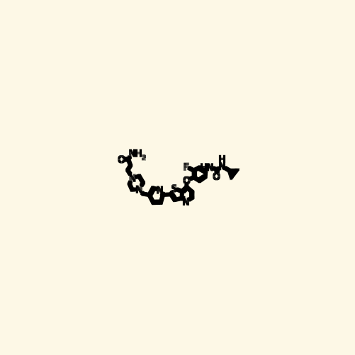 NC(=O)CCN1CCN(Cc2ccc(-c3cc4nccc(Oc5ccc(NC(=O)NC6CC6)cc5F)c4s3)nc2)CC1